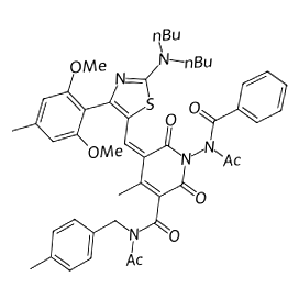 CCCCN(CCCC)c1nc(-c2c(OC)cc(C)cc2OC)c(/C=C2\C(=O)N(N(C(C)=O)C(=O)c3ccccc3)C(=O)C(C(=O)N(Cc3ccc(C)cc3)C(C)=O)=C2C)s1